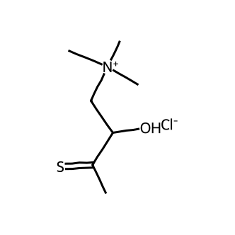 CC(=S)C(O)C[N+](C)(C)C.[Cl-]